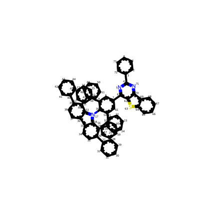 c1ccc(-c2nc(-c3cc(-c4ccccc4)c(-n4c5c(-c6ccccc6)c(-c6ccccc6)ccc5c5ccc(-c6ccccc6)c(-c6ccccc6)c54)c(-c4ccccc4)c3)c3sc4ccccc4c3n2)cc1